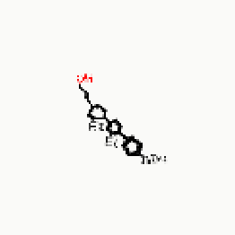 CCCCc1ccc(-c2ccc(-c3ccc(CCCO)cc3CC)cc2CC)cc1